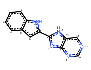 c1ccc2[nH]c(-c3nc4ncncc4[nH]3)cc2c1